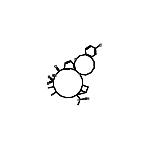 CC1CCCC2([C@H](C)O)C3CC(CN4CCCCc5cc(Cl)ccc5COc5ccc(cc54)C(=O)NS(=O)(=O)C1C)C32